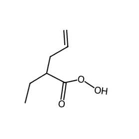 C=CCC(CC)C(=O)OO